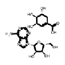 Nc1ncnc2c1ncn2[C@@H]1O[C@H](CO)[C@@H](O)[C@H]1O.O=C(O)C1=C[C@@H](O)[C@@H](O)[C@H](O)C1